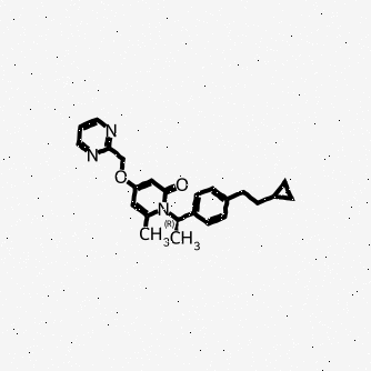 Cc1cc(OCc2ncccn2)cc(=O)n1[C@H](C)c1ccc(CCC2CC2)cc1